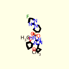 COc1cccc(OC)c1-n1c(NS(=O)(=O)[C@@H]2CCCN(c3ncc(F)cn3)C2)nnc1C1CCC1